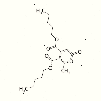 CCCCCOC(=O)c1cc(=O)oc(C)c1C(=O)OCCCCC